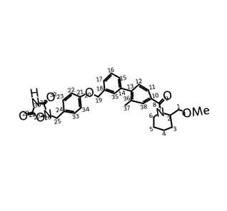 COCC1CCCCN1C(=O)c1ccc(-c2cccc(COc3ccc(Cn4oc(=O)[nH]c4=O)cc3)c2)c(C)c1